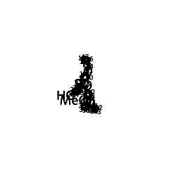 COc1cc(C(=O)c2c(-c3ccc(OCCN4CCCC4)cc3)sc3cc(O)ccc23)ccc1O[C@@H]1CCCC[C@H]1N1CCCC1